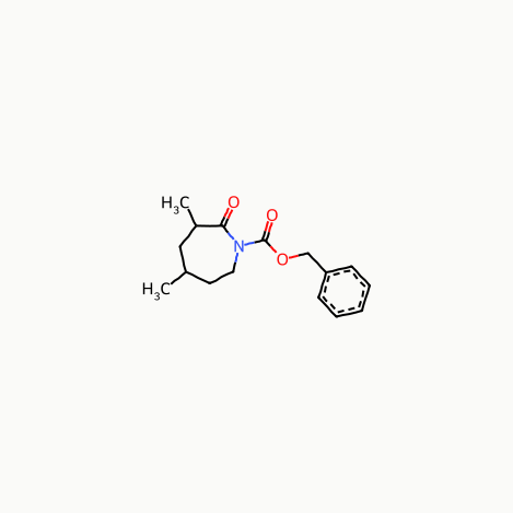 CC1CCN(C(=O)OCc2ccccc2)C(=O)C(C)C1